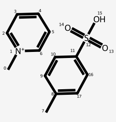 C[n+]1ccccc1.Cc1ccc(S(=O)(=O)O)cc1